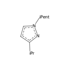 CCCC(C)n1ccc(C(C)C)n1